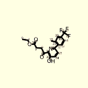 CCOC(=O)CCC(=O)c1nc(-c2ccc(C(F)(F)F)cc2C)ccc1O